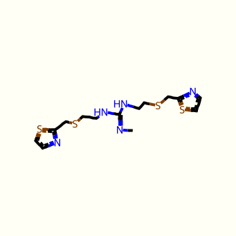 CN=C(NCCSCc1nccs1)NCCSCc1nccs1